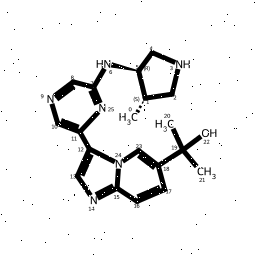 C[C@H]1CNC[C@@H]1Nc1cncc(-c2cnc3ccc(C(C)(C)O)cn23)n1